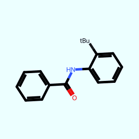 CC(C)(C)c1ccccc1NC(=O)c1ccccc1